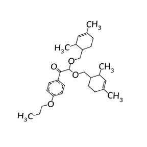 CCCOc1ccc(C(=O)C(OCC2CCC(C)=CC2C)OCC2CCC(C)=CC2C)cc1